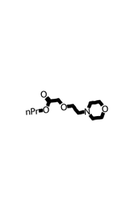 CCCOC(=O)COCCN1CCOCC1